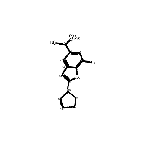 COC(O)c1cc(I)c2oc(C3CCCC3)cc2c1